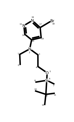 CCN(CCO[Si](C)(C)C(C)(C)C)c1cnnc(Br)c1